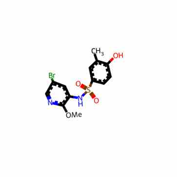 COc1ncc(Br)cc1NS(=O)(=O)c1ccc(O)c(C)c1